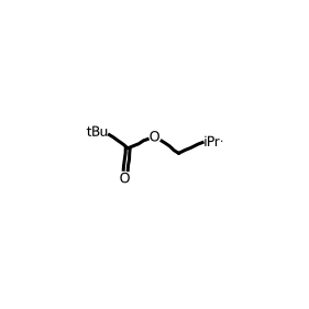 C[C](C)COC(=O)C(C)(C)C